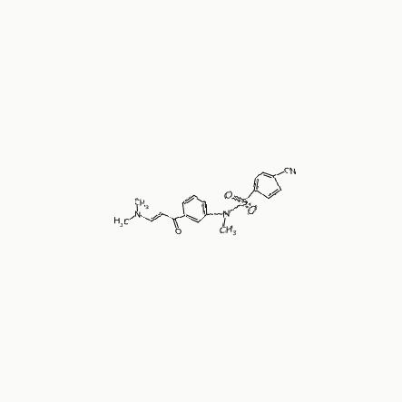 CN(C)/C=C/C(=O)c1cccc(N(C)S(=O)(=O)c2ccc(C#N)cc2)c1